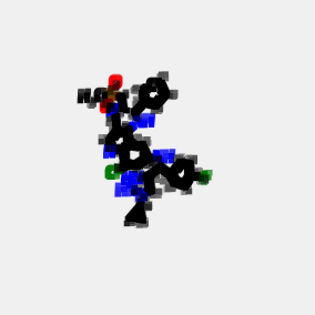 CS(=O)(=O)CC[C@@H](Nc1c(C#N)cnc2c(Cl)cc(N[C@@H](C3=CN(C4CC4)NN3)c3ccc(F)cc3)cc12)c1ccccc1